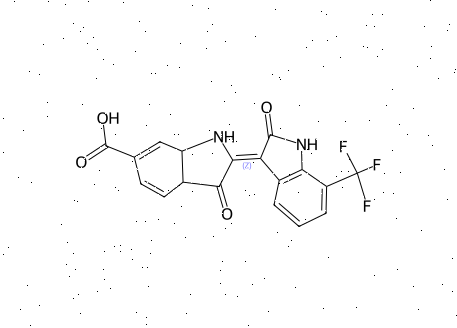 O=C(O)C1=CC2N/C(=C3\C(=O)Nc4c3cccc4C(F)(F)F)C(=O)C2C=C1